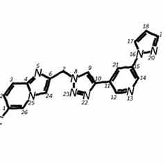 Cc1ccc2nc(Cn3cc(-c4cncc(-n5cccn5)c4)nn3)cn2c1